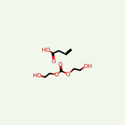 C=CCC(=O)O.O=C(OCCO)OCCO